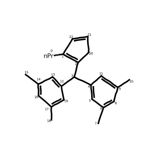 CCCC1=C(C(c2cc(C)cc(C)c2)c2cc(C)cc(C)c2)CC=C1